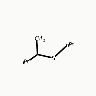 CCCSC(C)C(C)C